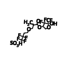 C=C(COCCC(F)(F)C(F)(F)S(=O)(=O)O)C(=O)OC1COC(O)(C(F)(F)F)C1(F)F